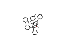 Cc1ccc([Si]2(c3ccc(C)cc3)c3ccccc3-c3cccc(N(c4ccccc4)c4ccc(-c5ccccc5)cc4)c32)cc1